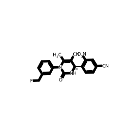 CC1=C(C#N)[C@@H](c2ccc(C#N)cc2[N+](=O)[O-])NC(=O)N1c1cccc(CF)c1